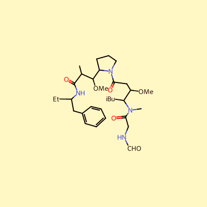 CCC(Cc1ccccc1)NC(=O)C(C)C(OC)C1CCCN1C(=O)CC(OC)C(C(C)CC)N(C)C(=O)CNC=O